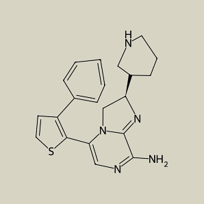 NC1=NC=C(c2sccc2-c2ccccc2)N2C[C@@H](C3CCCNC3)N=C12